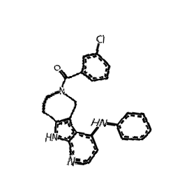 O=C(c1cccc(Cl)c1)N1CCc2[nH]c3nccc(Nc4ccccc4)c3c2C1